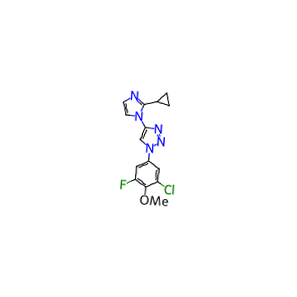 COc1c(F)cc(-n2cc(-n3ccnc3C3CC3)nn2)cc1Cl